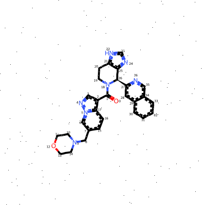 O=C(c1cnn2cc(CN3CCOCC3)ccc12)N1CCc2[nH]cnc2[C@H]1c1cc2ccccc2cn1